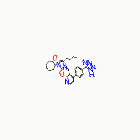 CCCCc1cn(C2CCCCCC2=O)c(=O)n1Cc1cnccc1-c1ccc(-c2nnn[nH]2)cc1